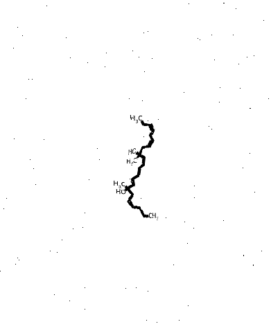 CC/C=C\C/C=C\CC(C)(O)\C=C/C=C/C=C/C(C)(O)C/C=C\CCC